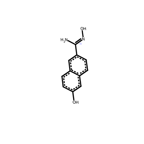 N/C(=N\O)c1ccc2cc(O)ccc2c1